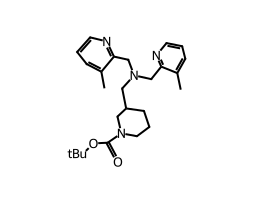 Cc1cccnc1CN(Cc1ncccc1C)CC1CCCN(C(=O)OC(C)(C)C)C1